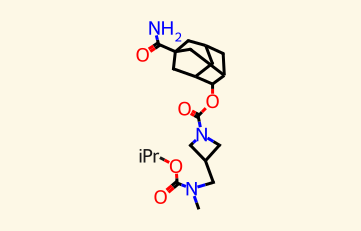 CC(C)OC(=O)N(C)CC1CN(C(=O)OC2C3CC4CC2CC(C(N)=O)(C4)C3)C1